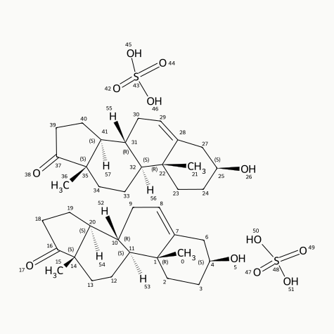 C[C@]12CC[C@H](O)CC1=CC[C@@H]1[C@@H]2CC[C@]2(C)C(=O)CC[C@@H]12.C[C@]12CC[C@H](O)CC1=CC[C@@H]1[C@@H]2CC[C@]2(C)C(=O)CC[C@@H]12.O=S(=O)(O)O.O=S(=O)(O)O